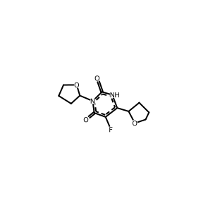 O=c1[nH]c(C2CCCO2)c(F)c(=O)n1C1CCCO1